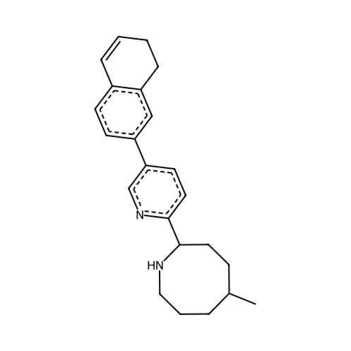 CC1CCCNC(c2ccc(-c3ccc4c(c3)CCC=C4)cn2)CC1